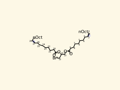 CCCCCCCC/C=C\CCCCCCCC(=O)OCC(CBr)OC(=O)CCCCCCC/C=C\CCCCCCCC